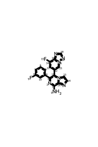 Nc1nc(-c2cccc(F)c2)c(-c2cc(F)c3ncnn3c2)n2ccnc12